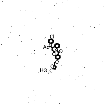 CC(=O)N(c1ccc(Cl)cc1)C1CC(C)N(C(=O)c2ccc(OCc3ccc(C(=O)O)o3)cc2)c2ccccc21